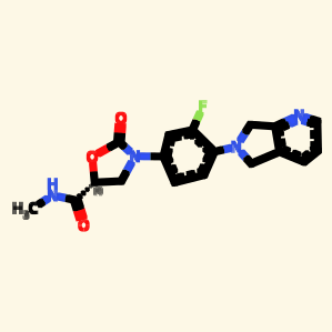 CNC(=O)[C@H]1CN(c2ccc(N3Cc4cccnc4C3)c(F)c2)C(=O)O1